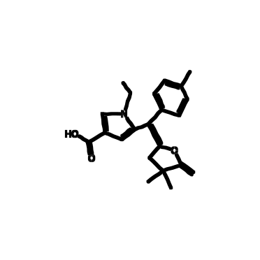 C=C1OC(=C(c2ccc(C)cc2)c2cc(C(=O)O)cn2CC)CC1(C)C